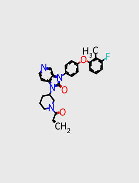 C=CC(=O)N1CCCC(n2c(=O)n(-c3ccc(Oc4cccc(F)c4C)cc3)c3cnccc32)C1